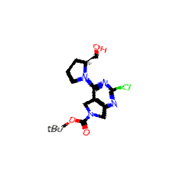 CC(C)(C)OC(=O)N1Cc2nc(Cl)nc(N3CCC[C@H]3CO)c2C1